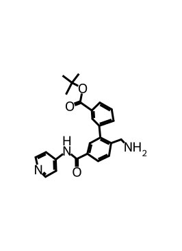 CC(C)(C)OC(=O)c1cccc(-c2cc(C(=O)Nc3ccncc3)ccc2CN)c1